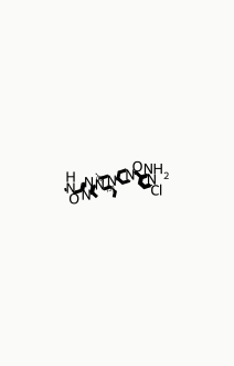 CC[C@H]1CN(c2ncc(C(=O)NC)nc2C)[C@H](C)CN1C1CCN(C(=O)c2ccc(Cl)nc2N)CC1